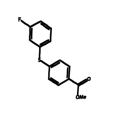 COC(=O)c1ccc(Sc2cccc(F)c2)cc1